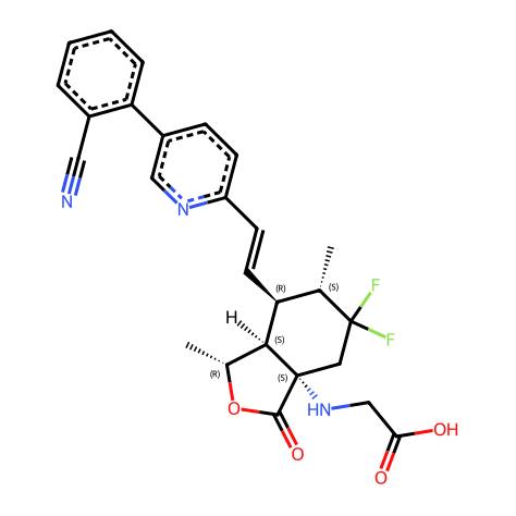 C[C@H]1OC(=O)[C@]2(NCC(=O)O)CC(F)(F)[C@@H](C)[C@H](C=Cc3ccc(-c4ccccc4C#N)cn3)[C@H]12